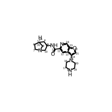 O=C(N[C@@H]1C[C@@H]2CCN(C2)C1)c1cc2c(N3CCNCC3)coc2cn1